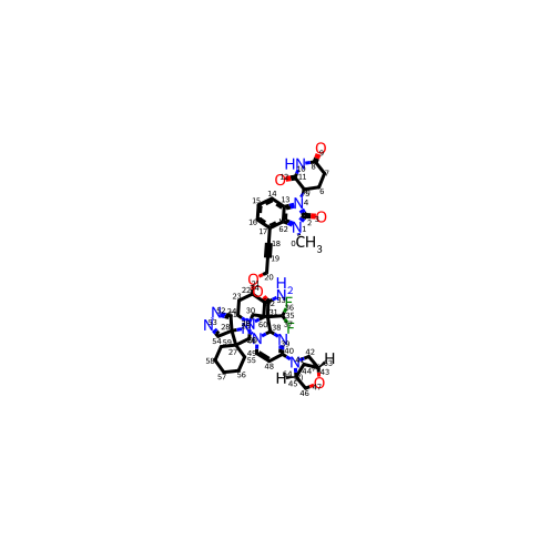 Cn1c(=O)n([C@@H]2CCC(=O)NC2=O)c2cccc(C#CCOC3CCN(CC4(C5(N6CC(C(N)=O)(C(F)F)C7N=C(N8C[C@H]9C[C@@H]8CO9)C=CN76)C=NN=C5)CCCCC4)CC3)c21